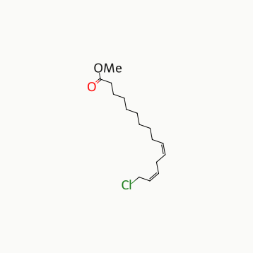 COC(=O)CCCCCCCC/C=C\C/C=C\CCl